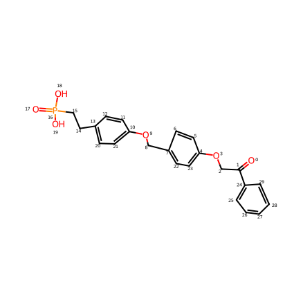 O=C(COc1ccc(COc2ccc(CCP(=O)(O)O)cc2)cc1)c1ccccc1